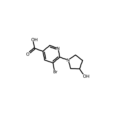 O=C(O)c1cnc(N2CCC(O)C2)c(Br)c1